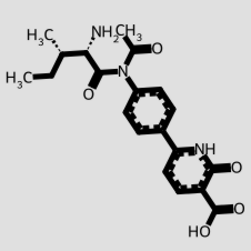 CC[C@H](C)[C@H](N)C(=O)N(C(C)=O)c1ccc(-c2ccc(C(=O)O)c(=O)[nH]2)cc1